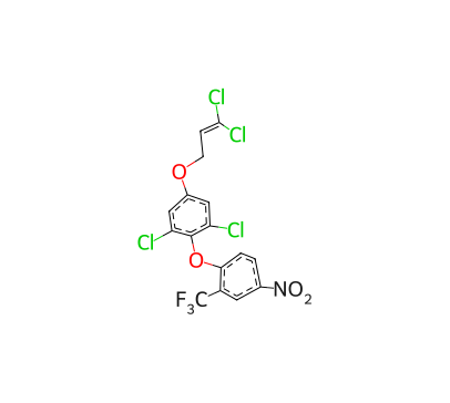 O=[N+]([O-])c1ccc(Oc2c(Cl)cc(OCC=C(Cl)Cl)cc2Cl)c(C(F)(F)F)c1